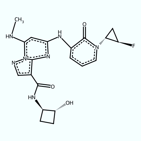 CNc1cc(Nc2cccn([C@@H]3C[C@H]3F)c2=O)nc2c(C(=O)N[C@@H]3CC[C@H]3O)cnn12